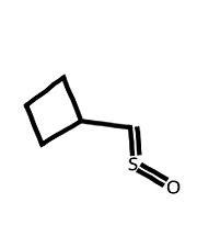 O=S=[C]C1CCC1